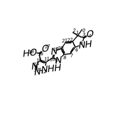 CC1(C)C(=O)Nc2cc3[nH]c(-c4[nH]nnc4C(=O)O)nc3cc21